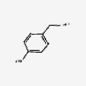 CCCCc1ccc(CC=O)cc1